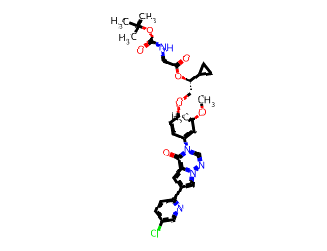 C=C(/C=C(\C=C/COC[C@H](OC(=O)CNC(=O)OC(C)(C)C)C1CC1)n1cnn2cc(-c3ccc(Cl)cn3)cc2c1=O)OC